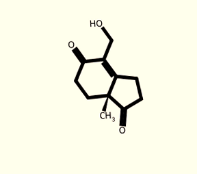 C[C@@]12CCC(=O)C(CO)=C1CCC2=O